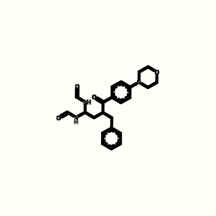 O=CNC(CC(Cc1ccccc1)C(=O)c1ccc(N2CCOCC2)cc1)NC=O